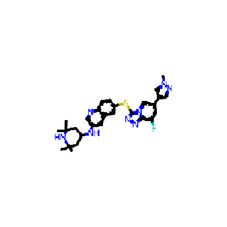 Cn1cc(-c2cc(F)c3nnc(Sc4ccc5ncc(NC6CC(C)(C)NC(C)(C)C6)cc5c4)n3c2)cn1